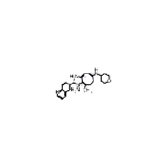 C/C1=C(N(N)Cc2ccc3ncccc3c2)/C(N)=C\C=C(\NC2CCOCC2)CC1